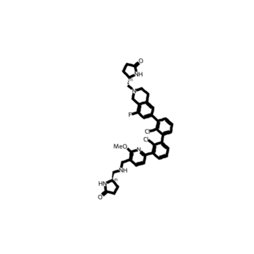 COc1nc(-c2cccc(-c3cccc(-c4cc(F)c5c(c4)CCN(C[C@@H]4CCC(=O)N4)C5)c3Cl)c2Cl)ccc1CNC[C@H]1CCC(=O)N1